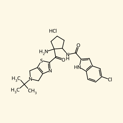 CC(C)(C)N1Cc2nc(C(=O)C3(N)CCCC3NC(=O)c3cc4cc(Cl)ccc4[nH]3)sc2C1.Cl